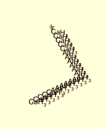 [AlH3].[AlH3].[AlH3].[AlH3].[AlH3].[AlH3].[AlH3].[AlH3].[AlH3].[AlH3].[AlH3].[AlH3].[AlH3].[GaH3].[GaH3].[GaH3].[GaH3].[GaH3].[GaH3].[GaH3].[GaH3].[GaH3].[GaH3].[Ir]